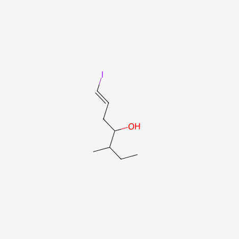 CCC(C)C(O)CC=CI